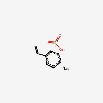 C=Cc1ccccc1.O=[SH](=O)O.[NaH]